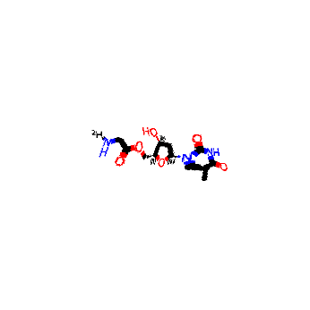 [2H]NCC(=O)OC[C@H]1O[C@@H](n2cc(C)c(=O)[nH]c2=O)C[C@H]1O